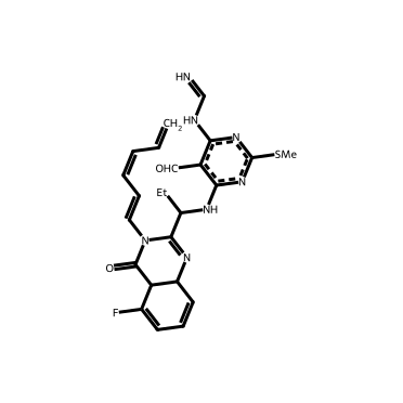 C=C/C=C\C=C\N1C(=O)C2C(F)=CC=CC2N=C1C(CC)Nc1nc(SC)nc(NC=N)c1C=O